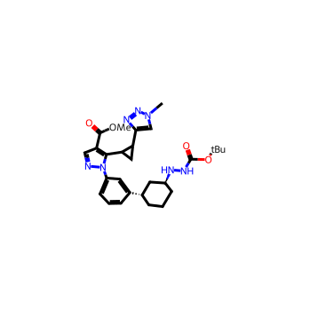 COC(=O)c1cnn(-c2cccc([C@H]3CCC[C@H](NNC(=O)OC(C)(C)C)C3)c2)c1C1CC1c1cn(C)nn1